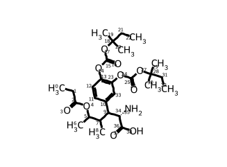 CCC(=O)OC(C)C(C)C(c1ccc(OC(=O)OC(C)(C)CC)c(OC(=O)OC(C)(C)CC)c1)[C@H](N)C(=O)O